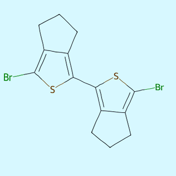 Brc1sc(-c2sc(Br)c3c2CCC3)c2c1CCC2